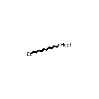 [CH2]CCCCCCCCC=CCC=CCC=CCC